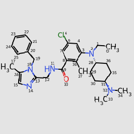 CCN(c1cc(Cl)cc(C(=O)NCc2ncc(C)n2Cc2ccccc2)c1C)[C@H]1CC[C@H](N(C)C)CC1